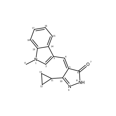 Cn1cc(C=C2C(=O)NN=C2C2CC2)c2ccccc21